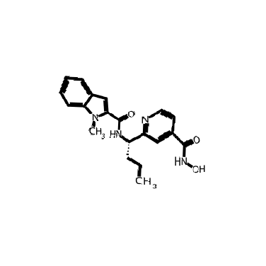 CCC[C@H](NC(=O)c1cc2ccccc2n1C)c1cc(C(=O)NO)ccn1